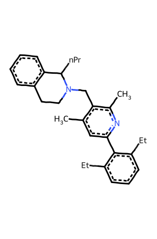 CCCC1c2ccccc2CCN1Cc1c(C)cc(-c2c(CC)cccc2CC)nc1C